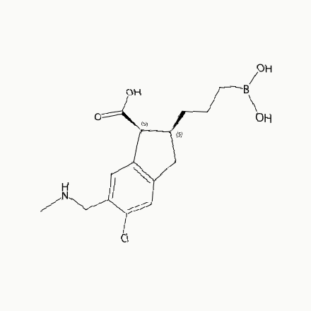 CNCc1cc2c(cc1Cl)C[C@H](CCCB(O)O)[C@@H]2C(=O)O